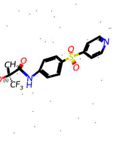 C[C@](O)(C(=O)Nc1ccc(S(=O)(=O)c2ccncc2)cc1)C(F)(F)F